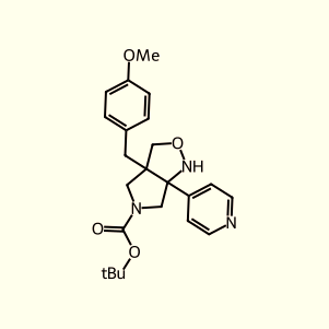 COc1ccc(CC23CONC2(c2ccncc2)CN(C(=O)OC(C)(C)C)C3)cc1